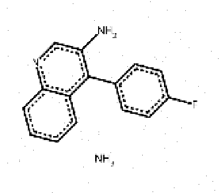 N.Nc1cnc2ccccc2c1-c1ccc(F)cc1